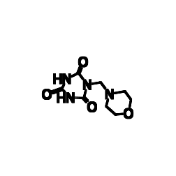 O=c1[nH]c(=O)n(CN2CCOCC2)c(=O)[nH]1